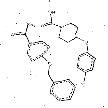 NC(=O)c1ccc(OCc2ccccc2)cc1.O=C(O)N1CCC(Oc2ccc(Cl)cc2)CC1